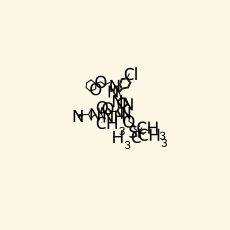 C[C@@H](NC(=O)c1cn(COCC[Si](C)(C)C)c2ncc(-c3nn(CCOC4CCCCO4)c4cc(Cl)ccc34)nc12)C(=O)N1CC(C#N)C1